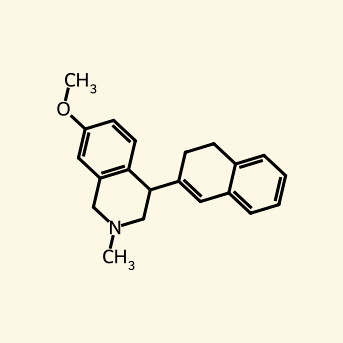 COc1ccc2c(c1)CN(C)CC2C1=Cc2ccccc2CC1